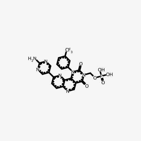 Nc1ncc(-c2ccc3ncc4c(=O)n(COP(=O)(O)O)c(=O)n(-c5cccc(C(F)(F)F)c5)c4c3n2)cn1